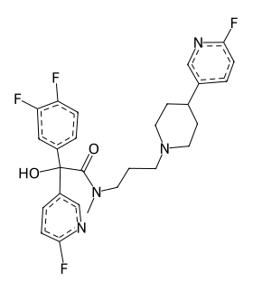 CN(CCCN1CCC(c2ccc(F)nc2)CC1)C(=O)C(O)(c1ccc(F)nc1)c1ccc(F)c(F)c1